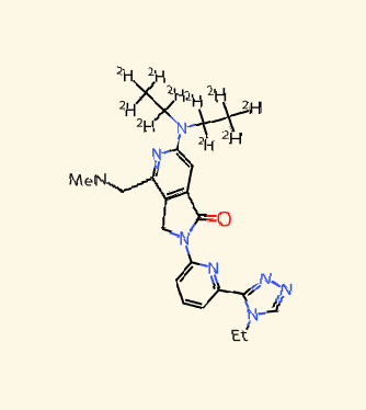 [2H]C([2H])([2H])C([2H])([2H])N(c1cc2c(c(CNC)n1)CN(c1cccc(-c3nncn3CC)n1)C2=O)C([2H])([2H])C([2H])([2H])[2H]